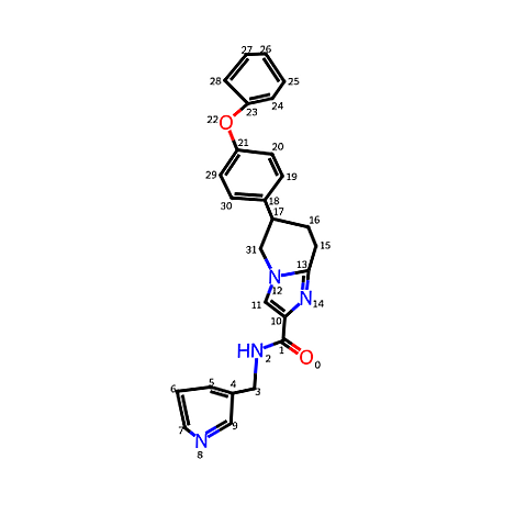 O=C(NCc1cccnc1)c1cn2c(n1)CCC(c1ccc(Oc3ccccc3)cc1)C2